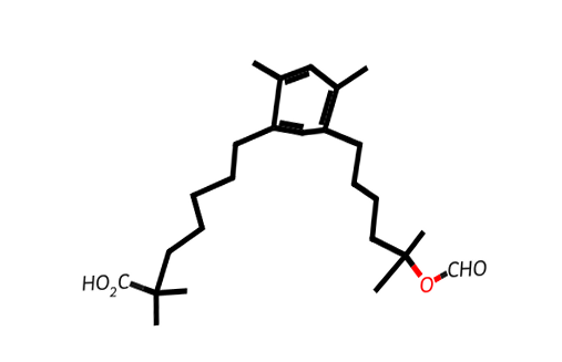 Cc1cc(C)c(CCCCC(C)(C)OC=O)cc1CCCCCC(C)(C)C(=O)O